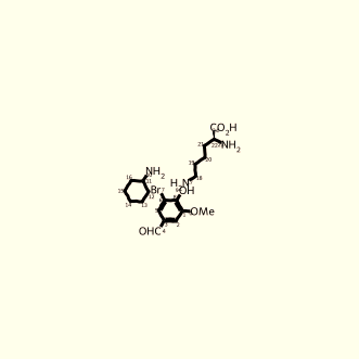 COc1cc(C=O)cc(Br)c1O.NC1CCCCC1.NCCCC[C@H](N)C(=O)O